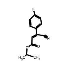 CC(C)OC(=O)C=C(C#N)c1ccc(F)cc1